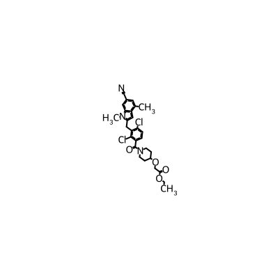 CCOC(=O)COC1CCN(C(=O)c2ccc(Cl)c(Cc3cc4c(C)cc(C#N)cc4n3C)c2Cl)CC1